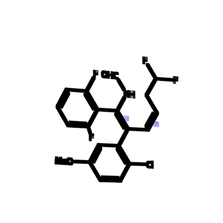 COc1ccc(Cl)c(C(/C=C\CC(F)F)=C(/NC=O)c2c(F)cccc2F)c1